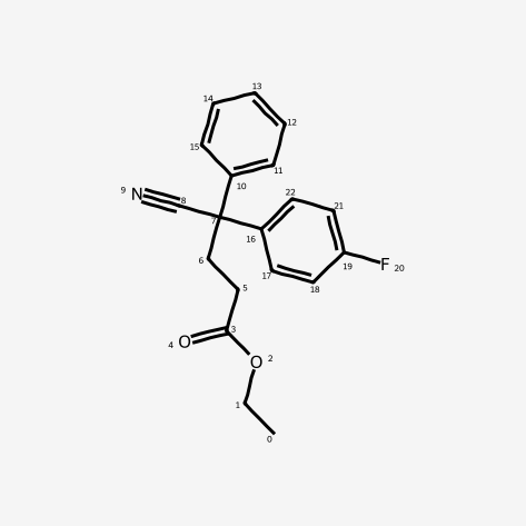 CCOC(=O)CCC(C#N)(c1ccccc1)c1ccc(F)cc1